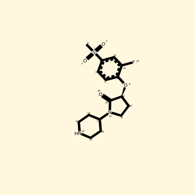 CS(=O)(=O)c1ccc(O[C@H]2CCN(C3CCNCC3)C2=O)c(F)c1